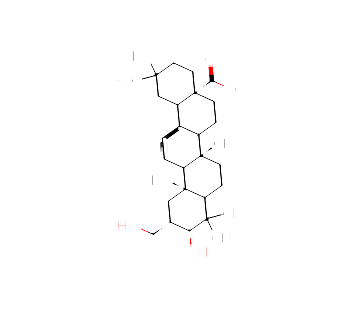 CC1(C)CC[C@]2(C(=O)O)CC[C@]3(C)C(=CCC4[C@@]5(C)C[C@H](CO)[C@H](O)C(C)(C)C5CC[C@]43C)C2C1